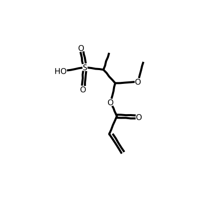 C=CC(=O)OC(OC)C(C)S(=O)(=O)O